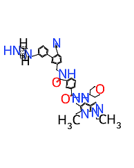 CCc1nc2c(cnn2CC)c(NC2CCOCC2)c1CNC(=O)c1cccc(C(=O)NCc2ccc(C#N)c(-c3cccc(CN4C[C@@H]5C[C@H]4CN5)c3)c2)c1